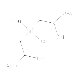 CCC[CH2][Sn]([CH2]CCC)([CH2]C(C)OC(C)=O)[CH2]C(C)OC(C)=O